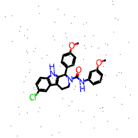 COc1ccc(C2c3[nH]c4ccc(Cl)cc4c3CCN2C(=O)Nc2cccc(OC)c2)cc1